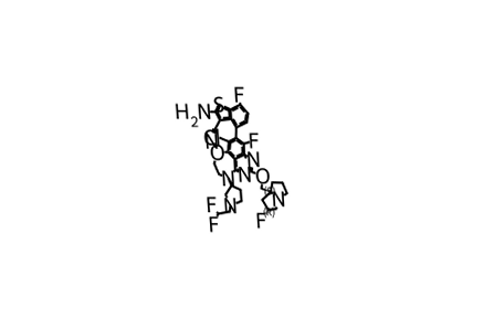 N#Cc1c(N)sc2c(F)ccc(-c3c(Cl)c4c5c(nc(OC[C@@]67CCCN6C[C@H](F)C7)nc5c3F)N(C3CCN(CC(F)F)C3)CCO4)c12